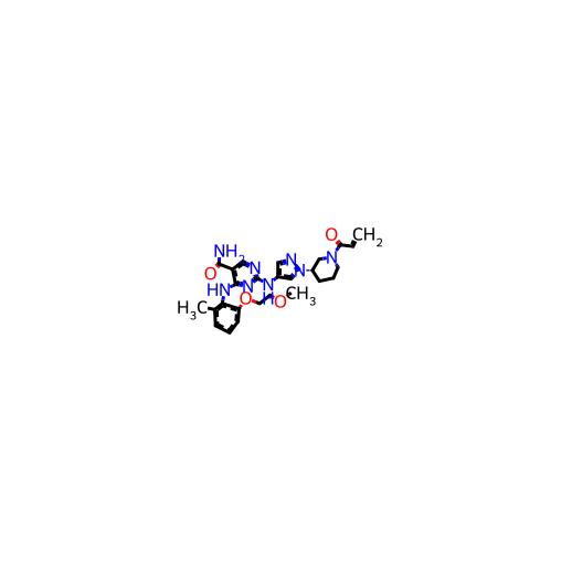 C=CC(=O)N1CCC[C@H](n2cc(Nc3ncc(C(N)=O)c(Nc4c(C)cccc4OCCOC)n3)cn2)C1